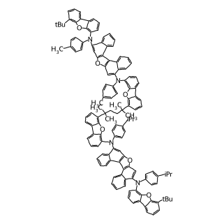 Cc1ccc(N(c2cc3oc4cc(N(c5ccc(C)cc5)c5cccc6c5oc5c(C(C)(C)CCC(C)(C)c7cccc8c7oc7c(N(c9ccc(C(C)C)cc9)c9cc%10oc%11cc(N(c%12ccc(C(C)C)cc%12)c%12cccc%13c%12oc%12c(C(C)(C)C)cccc%12%13)c%12ccccc%12c%11c%10c%10ccccc9%10)cccc78)cccc56)c5ccccc5c4c3c3ccccc23)c2cccc3c2oc2c(C(C)(C)C)cccc23)cc1